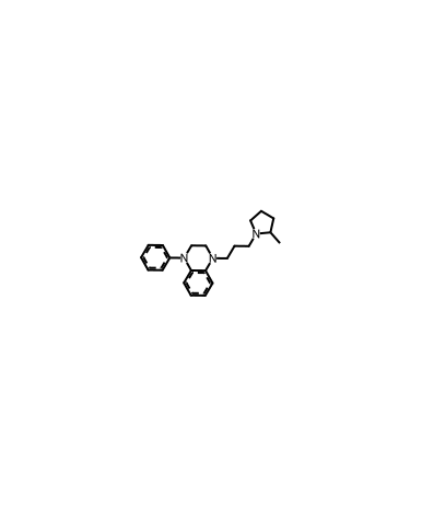 CC1CCCN1CCCN1CCN(c2ccccc2)c2ccccc21